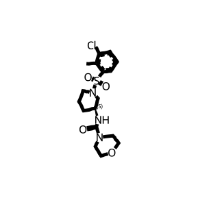 Cc1c(Cl)cccc1S(=O)(=O)N1CCC[C@H](NC(=O)N2CCOCC2)C1